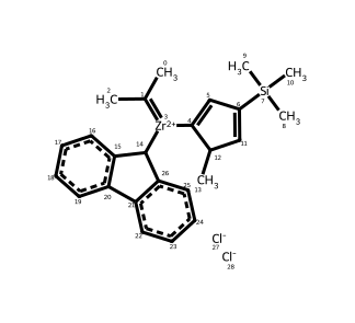 C[C](C)=[Zr+2]([C]1=CC([Si](C)(C)C)=CC1C)[CH]1c2ccccc2-c2ccccc21.[Cl-].[Cl-]